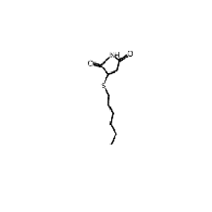 CCCCCCSC1CC(=O)NC1=O